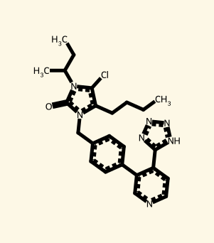 CCCCc1c(Cl)n(C(C)CC)c(=O)n1Cc1ccc(-c2cnccc2-c2nnn[nH]2)cc1